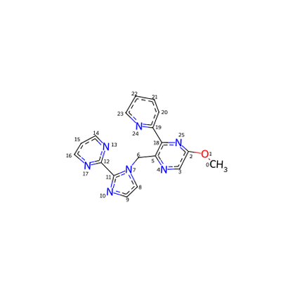 COc1cnc(Cn2ccnc2-c2ncccn2)c(-c2ccccn2)n1